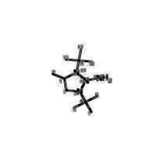 CC1CN(C(C)(C)C)N(N)N1C(C)(C)C